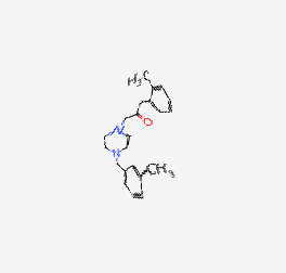 Cc1cccc(CN2CCN(CC(=O)Cc3ccccc3C)CC2)c1